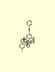 Cc1ccc(Cl)c(S(=O)(=O)Nc2c(F)cc(C#Cc3ccccc3)cc2F)c1